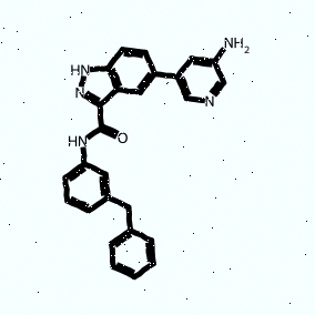 Nc1cncc(-c2ccc3[nH]nc(C(=O)Nc4cccc(Cc5ccccc5)c4)c3c2)c1